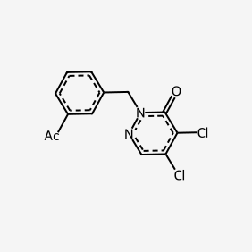 CC(=O)c1cccc(Cn2ncc(Cl)c(Cl)c2=O)c1